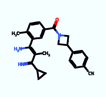 C/C(C(=N)C1CC1)=C(/N)c1cc(C(=O)N2CC(c3ccc(C#N)cc3)C2)ccc1C